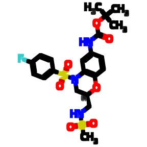 CC(C)(C)OC(=O)Nc1ccc2c(c1)N(S(=O)(=O)c1ccc(F)cc1)C[C@H](CNS(C)(=O)=O)O2